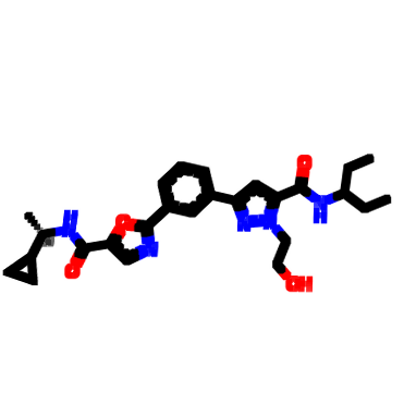 CCC(CC)NC(=O)c1cc(-c2cccc(-c3ncc(C(=O)N[C@@H](C)C4CC4)o3)c2)nn1CCO